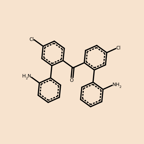 Nc1ccccc1-c1cc(Cl)ccc1C(=O)c1ccc(Cl)cc1-c1ccccc1N